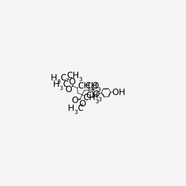 COC(=O)C(C)(CC(C)C(=O)OC(C)(C)C)CC(C)(C)C(=O)Oc1ccc(O)cc1